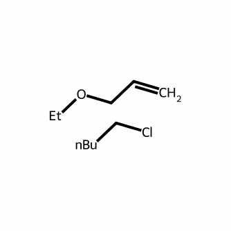 C=CCOCC.CCCCCCl